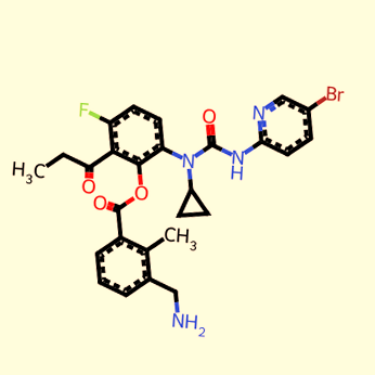 CCC(=O)c1c(F)ccc(N(C(=O)Nc2ccc(Br)cn2)C2CC2)c1OC(=O)c1cccc(CN)c1C